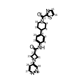 O=C(Nc1ccc(C2CCN(C(=O)c3nccs3)CC2)cc1)C1CN(c2ccnnc2)C1